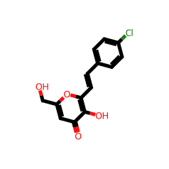 O=c1cc(CO)oc(/C=C/c2ccc(Cl)cc2)c1O